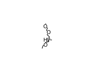 CCOCC[PH](C)(C)CCOCCOC